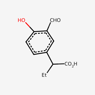 CCC(C(=O)O)c1ccc(O)c(C=O)c1